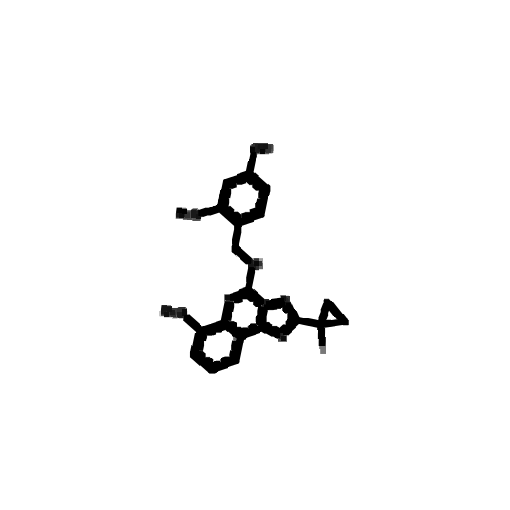 COc1ccc(CNc2nc3c(OC)cccc3c3nc(C4(I)CC4)nn23)c(OC)c1